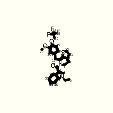 CCn1cc(C(=O)N2CC=C3CCSC3=C2Cc2ccc(OCC(F)(F)F)c(OC)c2)c2ccccc21